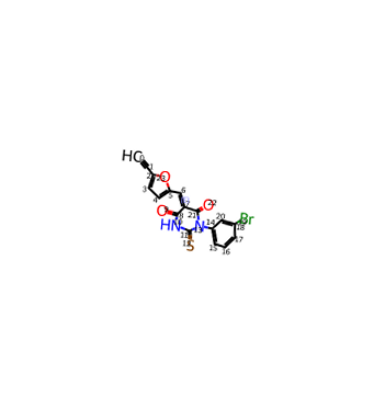 C#Cc1ccc(/C=C2\C(=O)NC(=S)N(c3cccc(Br)c3)C2=O)o1